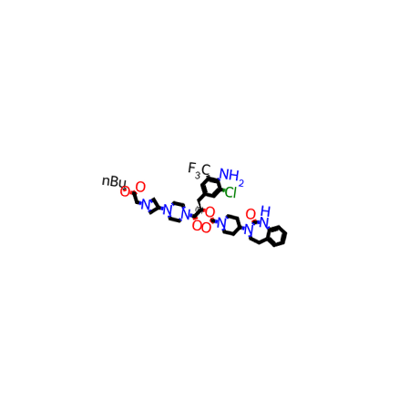 CCCCOC(=O)CN1CC(N2CCN(C(=O)[C@@H](Cc3cc(Cl)c(N)c(C(F)(F)F)c3)OC(=O)N3CCC(N4CCc5ccccc5NC4=O)CC3)CC2)C1